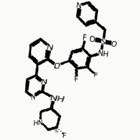 O=S(=O)(Cc1ccncc1)Nc1c(F)cc(Oc2ncccc2-c2ccnc(NC3CNC[C@@H](F)C3)n2)c(F)c1F